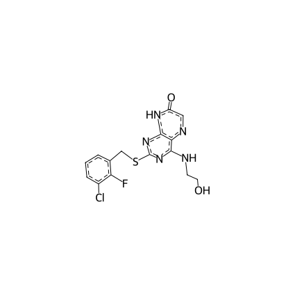 O=c1cnc2c(NCCO)nc(SCc3cccc(Cl)c3F)nc2[nH]1